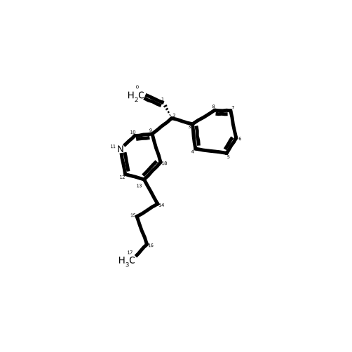 C=C[C@H](c1ccccc1)c1cncc(CCCC)c1